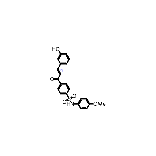 COc1ccc(NS(=O)(=O)c2ccc(C(=O)/C=C/c3cccc(O)c3)cc2)cc1